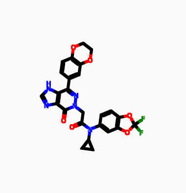 O=C(Cn1nc(-c2ccc3c(c2)OCCO3)c2[nH]cnc2c1=O)N(c1ccc2c(c1)OC(F)(F)O2)C1CC1